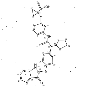 C=C(O)C1(Cc2cccc(NC(=O)C(c3ccc(Cn4[nH]c5ccccc5c4=O)cc3)C3CCCC3)c2)CC1